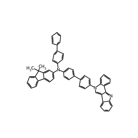 CC1(C)c2ccccc2-c2ccc(N(c3ccc(-c4ccccc4)cc3)c3ccc(-c4ccc(-n5cc6c7ccccc7nc-6c6ccccc65)cc4)cc3)cc21